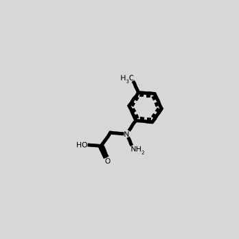 Cc1cccc(N(N)CC(=O)O)c1